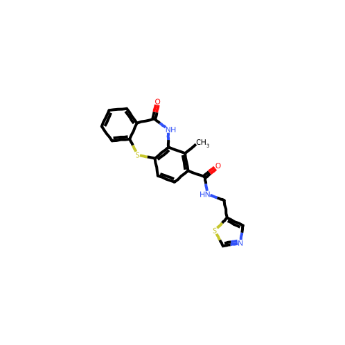 Cc1c(C(=O)NCc2cncs2)ccc2c1NC(=O)c1ccccc1S2